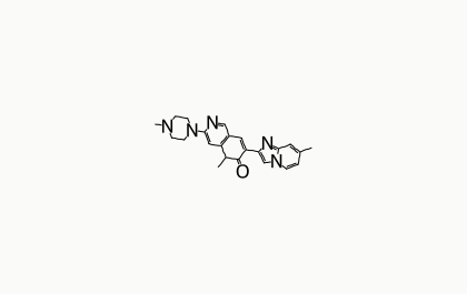 Cc1ccn2cc(C3=Cc4cnc(N5CCN(C)CC5)cc4C(C)C3=O)nc2c1